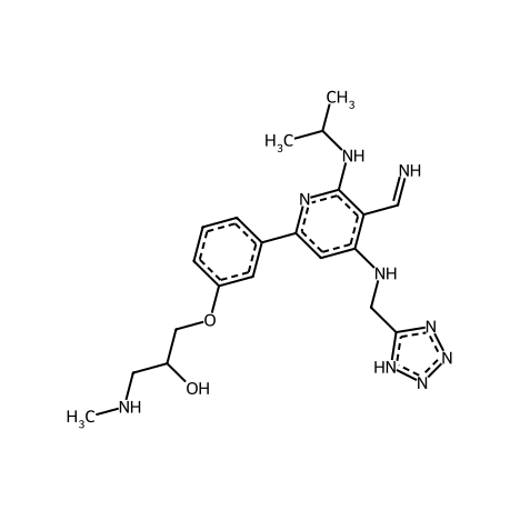 CNCC(O)COc1cccc(-c2cc(NCc3nnn[nH]3)c(C=N)c(NC(C)C)n2)c1